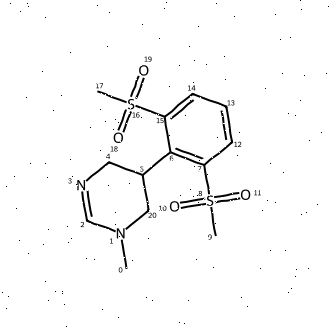 CN1C=NCC(c2c(S(C)(=O)=O)cccc2S(C)(=O)=O)C1